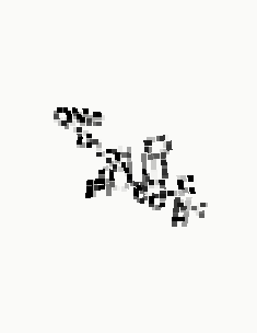 COCCOCCOC(=O)N[C@@H](CC(C)C)C(=O)N[C@@H](Cc1ccccc1)C(=O)C(=O)NC1CC1